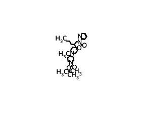 CCCCC1CN(c2ccccn2)C(=O)OC12CCN(C1(C)CCN(C(=O)OC(C)(C)C)CC1)CC2